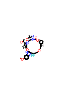 COc1ccc2nc3c(nc2c1)O[C@H]1CN(C(=O)[C@H](C(C)(C)C)NC(=O)O[C@]2(C)CCC[C@H]2CCOCCC3(F)F)[C@H](C(C)=O)[C@@H]1C